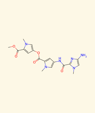 COC(=O)c1cc(OC(=O)c2cc(NC(=O)c3nc(N)cn3C)cn2C)cn1C